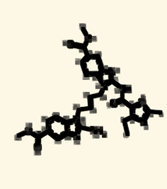 CCc1nc(C)oc1C(=O)Nc1nc2cc(C(=O)OC)ccc2n1C/C=C/Cn1c(N)nc2cc(C(=O)OC)ccc21